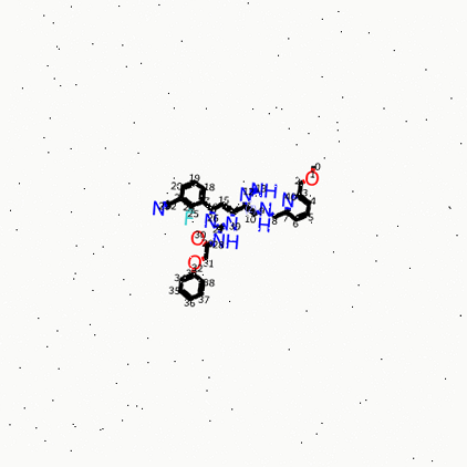 COCc1cccc(CN/C=C(\N=N)c2cc(-c3cccc(C#N)c3F)nc(NC(=O)COc3ccccc3)n2)n1